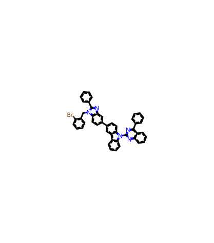 Brc1ccccc1Cn1c(-c2ccccc2)nc2cc(-c3ccc4c(c3)c3ccccc3n4-c3nc(-c4ccccc4)c4ccccc4n3)ccc21